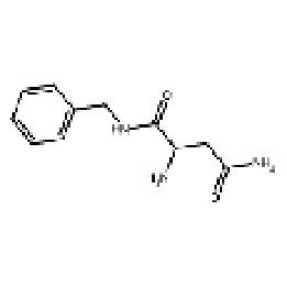 NC(=O)CC(N)C(=O)NCc1ccccc1